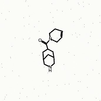 O=C(C1CC2CNCC(C2)C1)N1CC=CCC1